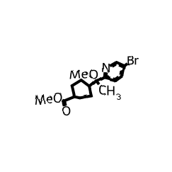 COC(=O)C1CCC(C(C)(OC)c2ccc(Br)cn2)CC1